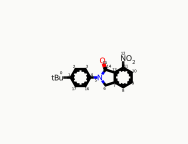 CC(C)(C)c1ccc(N2Cc3cccc([N+](=O)[O-])c3C2=O)cc1